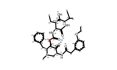 CCOc1cccc(CC(=O)N[C@@H](CN(C)[C@@H](Cc2ccccc2)[C@@H](O)CC(=O)N[C@H](C(=O)N[C@H](C(=O)O)C(C)C)[C@@H](C)CC)C(=O)CC)c1